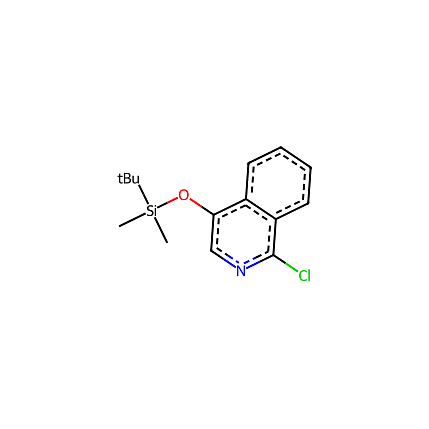 CC(C)(C)[Si](C)(C)Oc1cnc(Cl)c2ccccc12